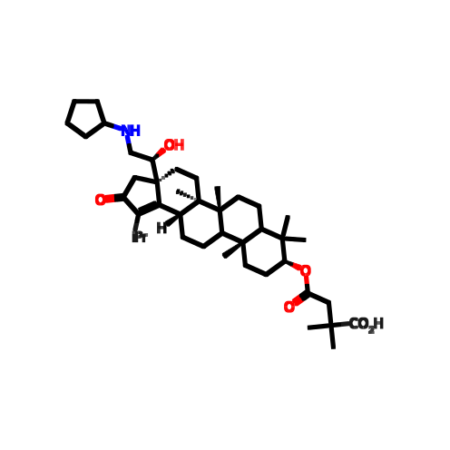 CC(C)C1=C2[C@H]3CCC4[C@@]5(C)CC[C@H](OC(=O)CC(C)(C)C(=O)O)C(C)(C)C5CC[C@@]4(C)[C@]3(C)CC[C@@]2([C@H](O)CNC2CCCC2)CC1=O